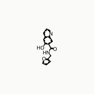 O=C(NCc1ccco1)c1cc2ncccc2cc1O